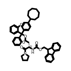 O=C(C[C@H](NC(=O)OCC1c2ccccc2-c2ccccc21)C(=O)N1CCCC1)OC(c1ccccc1)(c1ccc(C2CCCCCCC2)cc1)c1ccccc1Cl